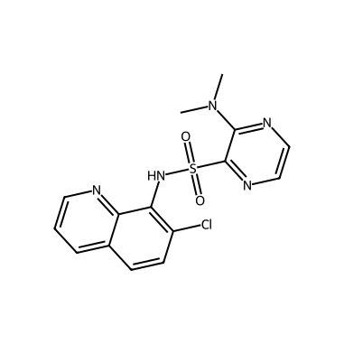 CN(C)c1nccnc1S(=O)(=O)Nc1c(Cl)ccc2cccnc12